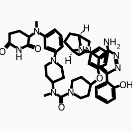 CN(C(=O)N1CCC(Oc2cccc(N3[C@@H]4CC[C@H]3CN(c3cc(-c5ccccc5O)nnc3N)C4)c2)CC1)C1CCN(c2cccc(N(C)C3CCC(=O)NC3=O)c2)CC1